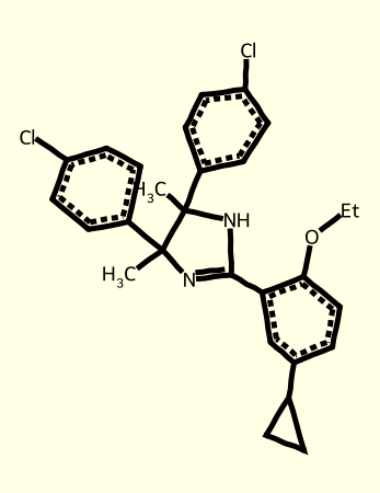 CCOc1ccc(C2CC2)cc1C1=NC(C)(c2ccc(Cl)cc2)C(C)(c2ccc(Cl)cc2)N1